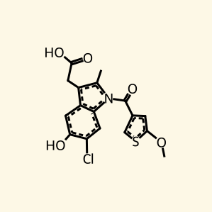 COc1cc(C(=O)n2c(C)c(CC(=O)O)c3cc(O)c(Cl)cc32)cs1